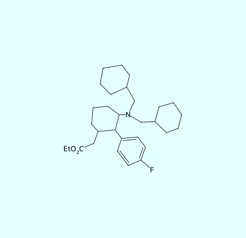 CCOC(=O)CC1CCCC(N(CC2CCCCC2)CC2CCCCC2)C1c1ccc(F)cc1